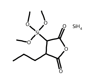 CCCC1C(=O)OC(=O)C1[Si](OC)(OC)OC.[SiH4]